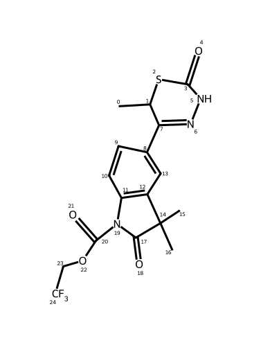 CC1SC(=O)NN=C1c1ccc2c(c1)C(C)(C)C(=O)N2C(=O)OCC(F)(F)F